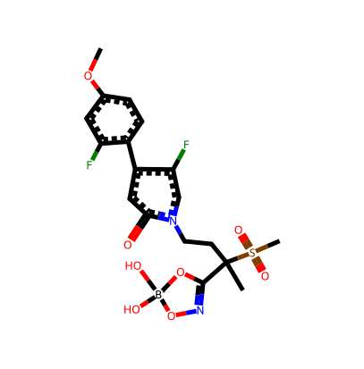 COc1ccc(-c2cc(=O)n(CCC(C)(C3=NO[B-](O)(O)O3)S(C)(=O)=O)cc2F)c(F)c1